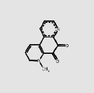 CN1CC=CC2=C1C(=O)C(=O)c1ncccc12